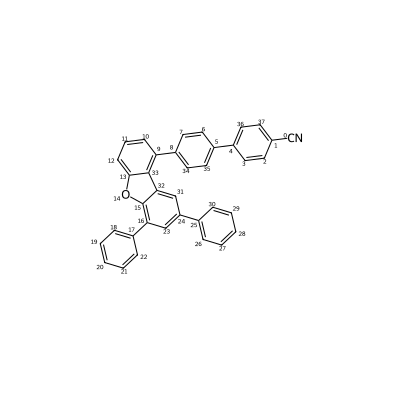 N#Cc1ccc(-c2ccc(-c3cccc4oc5c(-c6ccccc6)cc(-c6ccccc6)cc5c34)cc2)cc1